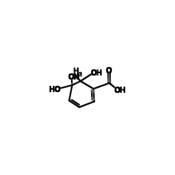 NC1(O)C(C(=O)O)=CC=CC1(O)O